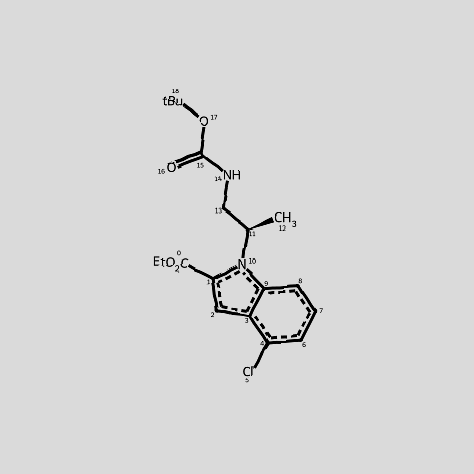 CCOC(=O)c1cc2c(Cl)cccc2n1[C@H](C)CNC(=O)OC(C)(C)C